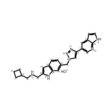 Cl.c1cc2cc(-c3cn(Cc4ccc5cc(CNCC6CCC6)[nH]c5c4)nn3)cnc2[nH]1